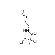 CN(C)CCCNC(=O)C(C)(Cl)CCl